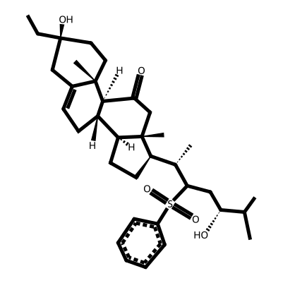 CC[C@]1(O)CC[C@@]2(C)C(=CC[C@H]3[C@@H]4CC[C@H]([C@H](C)C(C[C@@H](O)C(C)C)S(=O)(=O)c5ccccc5)[C@@]4(C)CC(=O)[C@@H]32)C1